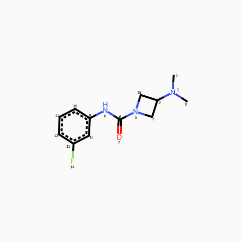 CN(C)C1CN(C(=O)Nc2cccc(F)c2)C1